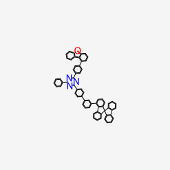 c1ccc(-c2nc(-c3ccc(-c4cccc(-c5cccc6c5-c5ccccc5C65c6ccccc6-c6ccccc65)c4)cc3)nc(-c3ccc(-c4cccc5oc6ccccc6c45)cc3)n2)cc1